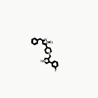 CCn1nc(Cc2ccccc2)cc1C1CCN(CC2CNCC2c2cccc(F)c2)CC1